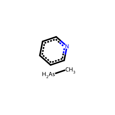 C[AsH2].c1ccncc1